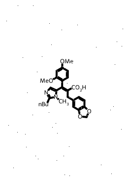 CCCCc1ncc(C(=C(Cc2ccc3c(c2)OCO3)C(=O)O)c2ccc(OC)cc2OC)n1C